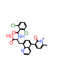 Cc1ccc(-c2ccc(CC(NC(=O)c3c(Cl)cccc3Cl)C(=O)O)c3ncccc23)c(=O)n1C